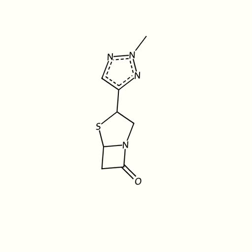 Cn1ncc(C2CN3C(=O)CC3S2)n1